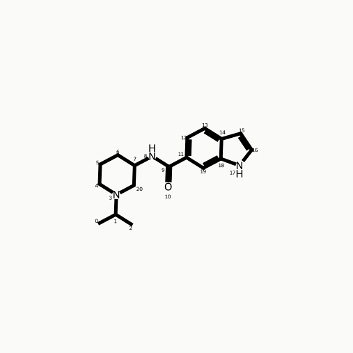 CC(C)N1CCCC(NC(=O)c2ccc3cc[nH]c3c2)C1